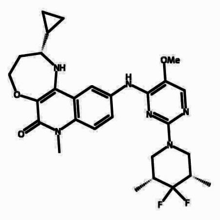 COc1cnc(N2C[C@@H](C)C(F)(F)[C@@H](C)C2)nc1Nc1ccc2c(c1)c1c(c(=O)n2C)OCC[C@H](C2CC2)N1